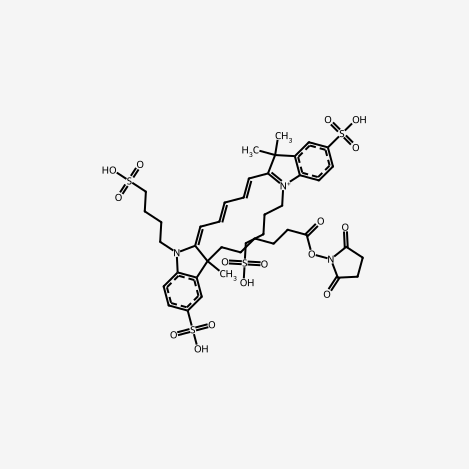 CC1(C)C(C=CC=CC=C2N(CCCCS(=O)(=O)O)c3ccc(S(=O)(=O)O)cc3C2(C)CCCCCC(=O)ON2C(=O)CCC2=O)=[N+](CCCCS(=O)(=O)O)c2ccc(S(=O)(=O)O)cc21